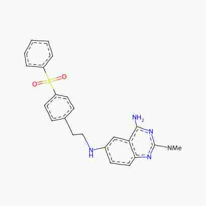 CNc1nc(N)c2cc(NCCc3ccc(S(=O)(=O)c4ccccc4)cc3)ccc2n1